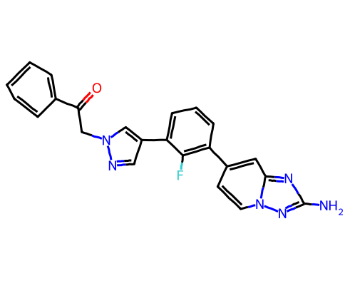 Nc1nc2cc(-c3cccc(-c4cnn(CC(=O)c5ccccc5)c4)c3F)ccn2n1